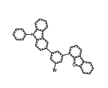 Brc1cc(-c2ccc3c(c2)c2ccccc2n3-c2ccccc2)cc(-c2cccc3c2oc2ccccc23)c1